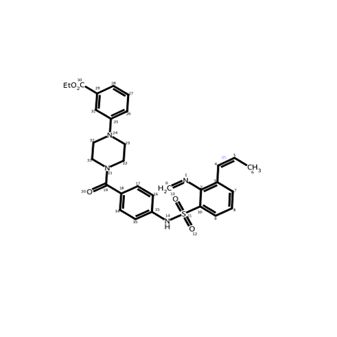 C=Nc1c(/C=C\C)cccc1S(=O)(=O)Nc1ccc(C(=O)N2CCN(c3cccc(C(=O)OCC)c3)CC2)cc1